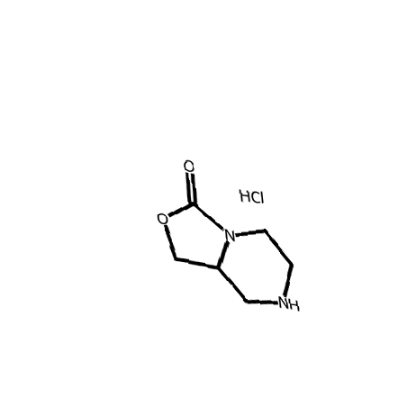 Cl.O=C1OCC2CNCCN12